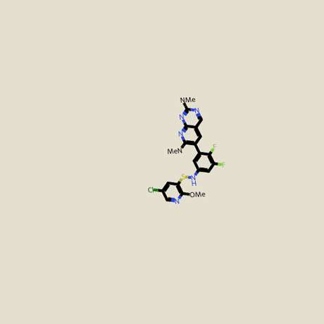 CNc1ncc2cc(-c3cc(NSc4cc(Cl)cnc4OC)cc(F)c3F)c(NC)nc2n1